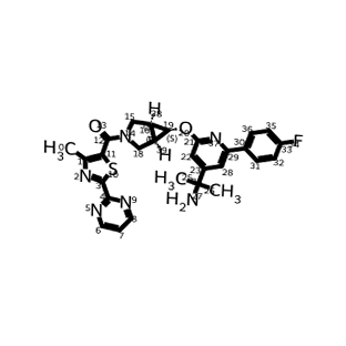 Cc1nc(-c2ncccn2)sc1C(=O)N1C[C@@H]2[C@H](C1)[C@H]2Oc1cc(C(C)(C)N)cc(-c2ccc(F)cc2)n1